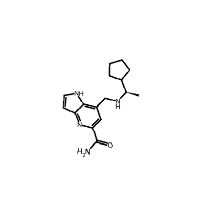 C[C@@H](NCc1cc(C(N)=O)nc2cc[nH]c12)C1CCCC1